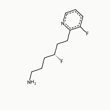 NCCC[C@@H](F)CCc1ncccc1F